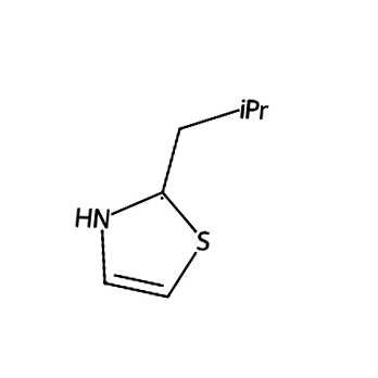 CC(C)C[C]1NC=CS1